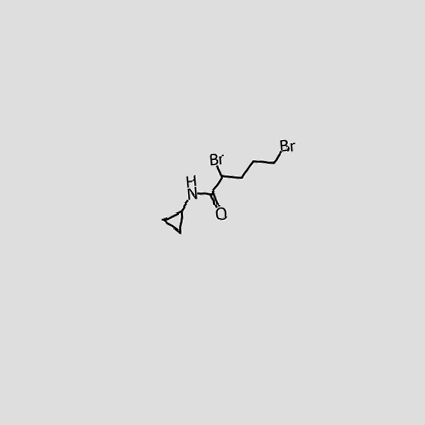 O=C(NC1CC1)C(Br)CCCBr